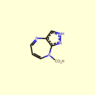 O=C(O)N1C=CC=Nc2c[nH]nc21